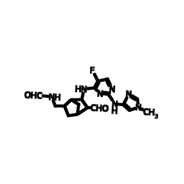 Cn1cnc(Nc2ncc(F)c(NC3C(C=O)C4CC(CNC=O)C3C4)n2)c1